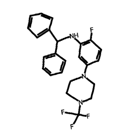 Fc1ccc(N2CCN(C(F)(F)F)CC2)cc1NC(c1ccccc1)c1ccccc1